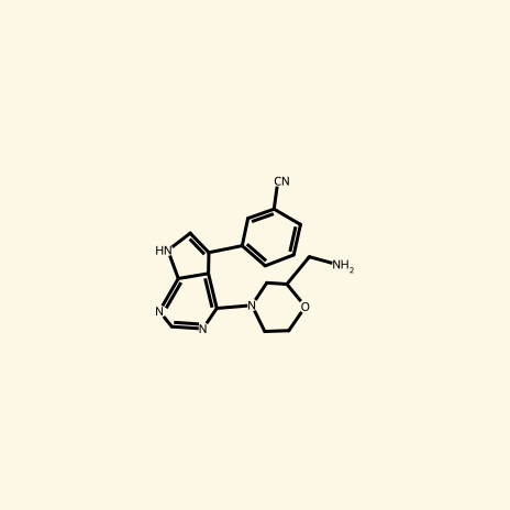 N#Cc1cccc(-c2c[nH]c3ncnc(N4CCOC(CN)C4)c23)c1